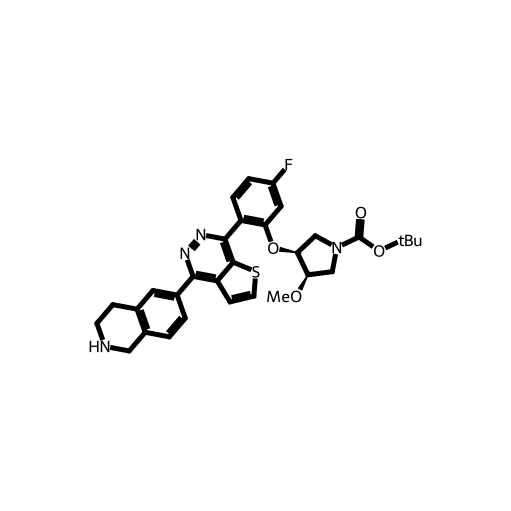 CO[C@@H]1CN(C(=O)OC(C)(C)C)C[C@@H]1Oc1cc(F)ccc1-c1nnc(-c2ccc3c(c2)CCNC3)c2ccsc12